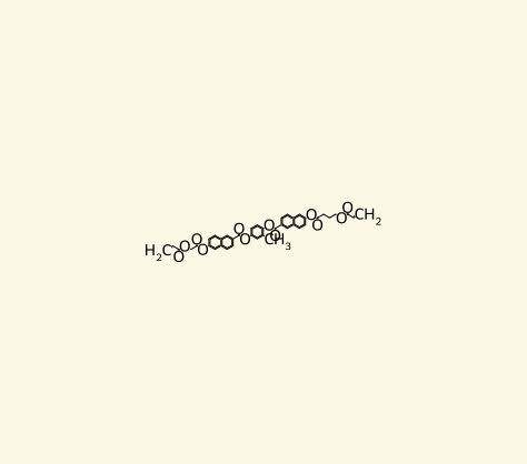 C=CC(=O)OCCCC(=O)Oc1ccc2cc(C(=O)Oc3ccc(OC(=O)c4ccc5cc(OC(=O)COC(=O)C=C)ccc5c4)cc3C)ccc2c1